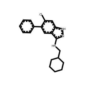 Clc1cc2[nH]nc(NCC3CCCCC3)c2cc1-c1ccccc1